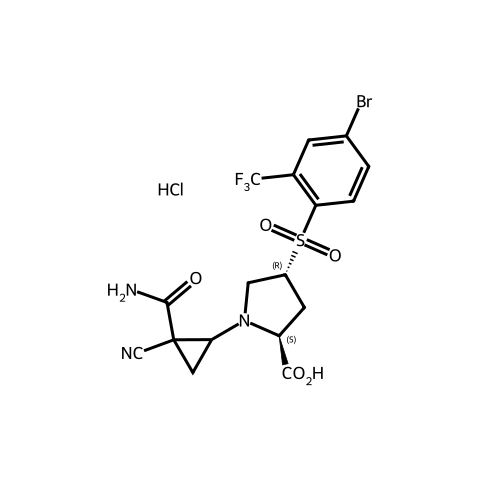 Cl.N#CC1(C(N)=O)CC1N1C[C@H](S(=O)(=O)c2ccc(Br)cc2C(F)(F)F)C[C@H]1C(=O)O